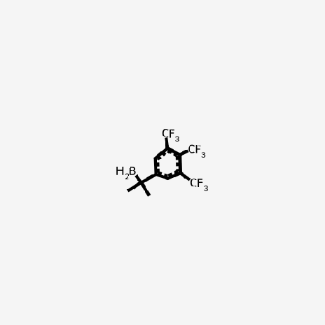 BC(C)(C)c1cc(C(F)(F)F)c(C(F)(F)F)c(C(F)(F)F)c1